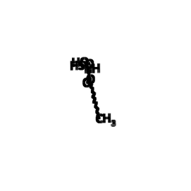 CCCCCCCCCCCCCCCC(=O)OCCCN[C@@H](CS)C(=O)O